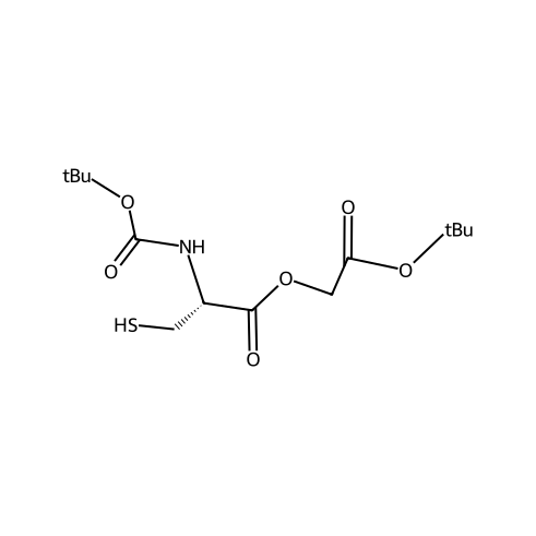 CC(C)(C)OC(=O)COC(=O)[C@H](CS)NC(=O)OC(C)(C)C